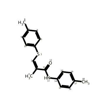 CC(=CSc1ccc(C)cc1)C(=O)Nc1ccc(C)cc1